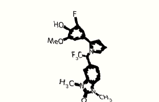 COc1cc(-c2cccn2[C@@H](c2ccc3c(c2)n(C)c(=O)n3C)C(F)(F)F)cc(F)c1O